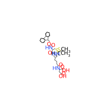 CC(C)(C)SSCC(NC(=O)OCC1c2ccccc2-c2ccccc21)C(=O)NCCCCCC(=O)NC(CC(=O)O)C(=O)O